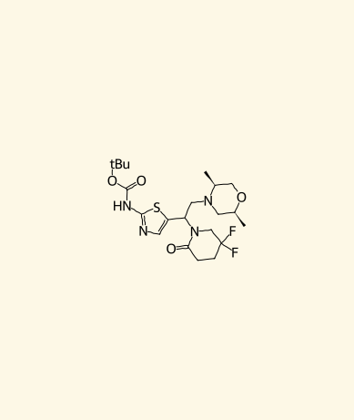 C[C@H]1CN(CC(c2cnc(NC(=O)OC(C)(C)C)s2)N2CC(F)(F)CCC2=O)[C@@H](C)CO1